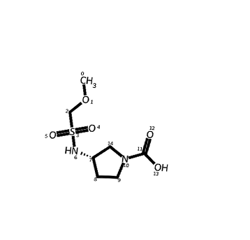 COCS(=O)(=O)N[C@H]1CCN(C(=O)O)C1